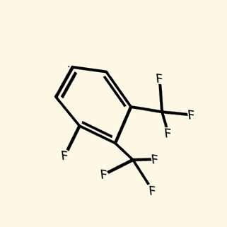 Fc1c[c]cc(C(F)(F)F)c1C(F)(F)F